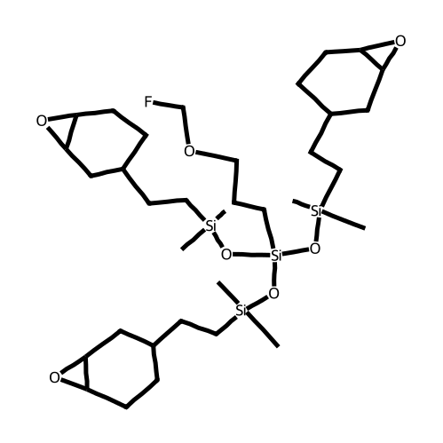 C[Si](C)(CCC1CCC2OC2C1)O[Si](CCCOCF)(O[Si](C)(C)CCC1CCC2OC2C1)O[Si](C)(C)CCC1CCC2OC2C1